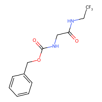 O=C(CNC(=O)OCc1ccccc1)NCC(F)(F)F